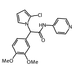 COc1ccc(C(C(=O)Nc2ccncc2)n2cccc2Cl)cc1OC